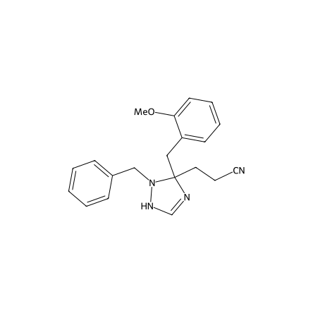 COc1ccccc1CC1(CCC#N)N=CNN1Cc1ccccc1